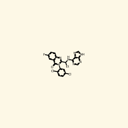 CCC(Nc1ncnc2[nH]cnc12)c1nc2ccc(F)cc2c(=O)n1-c1cc(Cl)ccc1Cl